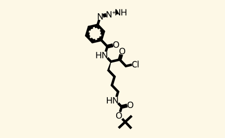 CC(C)(C)OC(=O)NCCCC[C@@H](NC(=O)c1cccc(N=[N+]=N)c1)C(=O)CCl